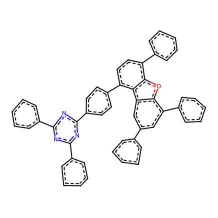 c1ccc(-c2cc(-c3ccccc3)c3oc4c(-c5ccccc5)ccc(-c5ccc(-c6nc(-c7ccccc7)nc(-c7ccccc7)n6)cc5)c4c3c2)cc1